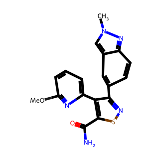 COc1cccc(-c2c(-c3ccc4nn(C)cc4c3)nsc2C(N)=O)n1